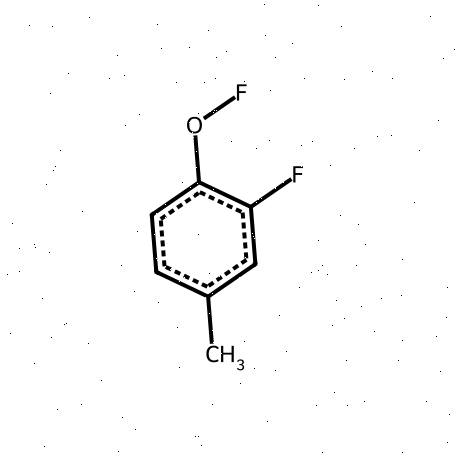 Cc1ccc(OF)c(F)c1